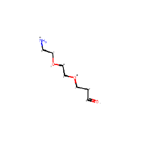 NCCOCCOCC[C]=O